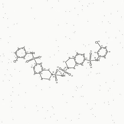 O=S(=O)(Nc1cccc(Cl)c1)c1ccc2c(c1)CN(S(=O)(=O)NS(=O)(=O)N1CCc3ccc(S(=O)(=O)Nc4cccc(Cl)c4)cc3C1)CC2